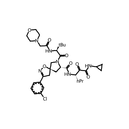 CCC[C@H](NC(=O)[C@@H]1C[C@]2(CC(c3cccc(Cl)c3)=NO2)CN1C(=O)[C@@H](NC(=O)CN1CCOCC1)C(C)(C)C)C(=O)C(=O)NC1CC1